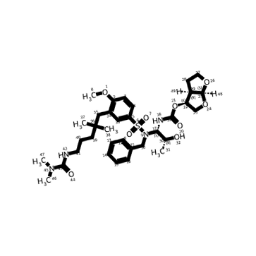 COc1ccc(S(=O)(=O)N(Cc2ccccc2)[C@H](NC(=O)O[C@@H]2CO[C@@H]3OCC[C@@H]32)[C@@H](C)O)cc1CC(C)(C)CCCNC(=O)N(C)C